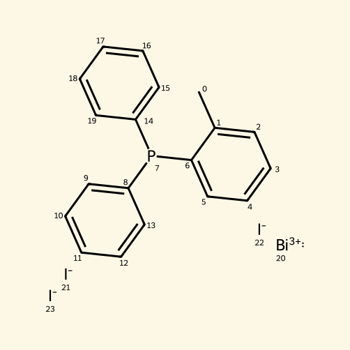 Cc1ccccc1P(c1ccccc1)c1ccccc1.[Bi+3].[I-].[I-].[I-]